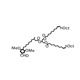 CCCCCCCC/C=C\CCCCCCCC(=O)OCC(COC(=O)CCCCCCC/C=C\CCCCCCCC)OC(=O)CC(C)CCCCCCCc1c(OC)cc(C=O)cc1OC